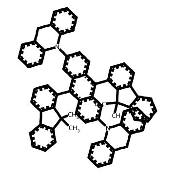 CC1(C)c2ccccc2-c2cccc(-c3c4ccc(N5c6ccccc6Cc6ccccc65)cc4c(-c4cccc5c4C(C)(C)c4ccccc4-5)c4ccc(N5c6ccccc6Cc6ccccc65)cc34)c21